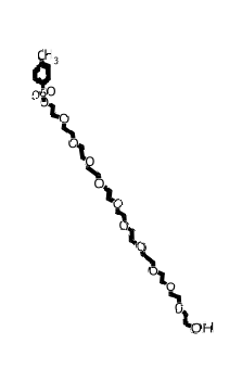 Cc1ccc(S(=O)(=O)OCCOCCOCCOCCOCCOCCOCCOCCOCCOCCOCCO)cc1